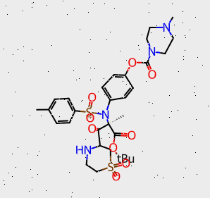 Cc1ccc(S(=O)(=O)N(c2ccc(OC(=O)N3CCN(C)CC3)cc2)[C@@](C)(C(=O)OC(C)(C)C)C(=O)C2CS(=O)(=O)CCN2)cc1